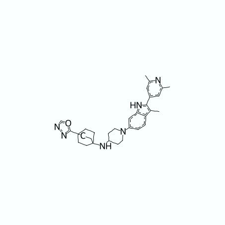 Cc1cc(-c2[nH]c3cc(N4CCC(NC56CCC(c7nnco7)(CC5)CC6)CC4)ccc3c2C)cc(C)n1